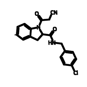 N#CCC(=O)N1c2cc[c]cc2CC1C(=O)NCc1ccc(Cl)cc1